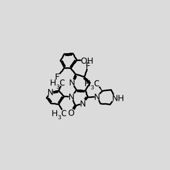 Cc1ccnc(C)c1-n1c(=O)nc(N2CCNC[C@@H]2C)c2cc(F)c(-c3c(O)cccc3F)nc21